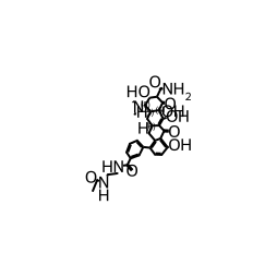 CC(=O)NCCNC(=O)c1cccc(-c2ccc(O)c3c2C[C@H]2C[C@H]4[C@H](N(C)C)C(O)C(C(N)=O)C(=O)[C@@]4(O)C(O)=C2C3=O)c1